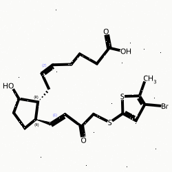 Cc1sc(SCC(=O)/C=C/[C@H]2CCC(O)[C@@H]2C/C=C\CCCC(=O)O)cc1Br